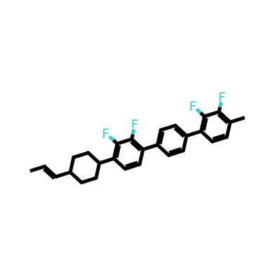 C/C=C/C1CCC(c2ccc(-c3ccc(-c4ccc(C)c(F)c4F)cc3)c(F)c2F)CC1